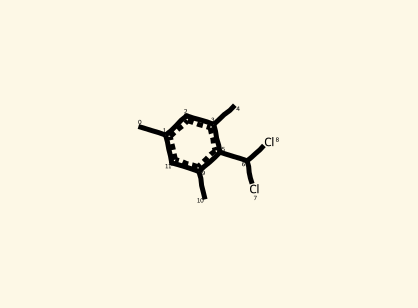 Cc1cc(C)c(C(Cl)Cl)c(C)c1